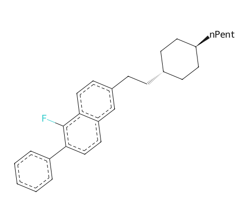 CCCCC[C@H]1CC[C@H](CCc2ccc3c(F)c(-c4ccccc4)ccc3c2)CC1